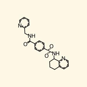 O=C(NCc1ccccn1)c1ccc(S(=O)(=O)NC2CCCc3cccnc32)cc1